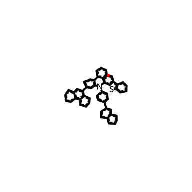 c1ccc(-c2ccc(-c3cc4ccccc4c4ccccc34)cc2N(c2ccc(-c3ccc4ccccc4c3)cc2)c2cccc3c2sc2ccccc23)cc1